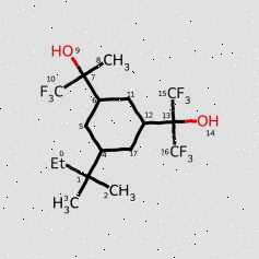 CCC(C)(C)C1CC(C(C)(O)C(F)(F)F)CC(C(O)(C(F)(F)F)C(F)(F)F)C1